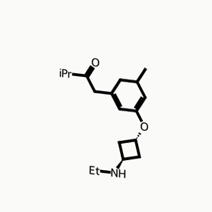 CCN[C@H]1C[C@H](OC2=CC(C)CC(CC(=O)C(C)C)=C2)C1